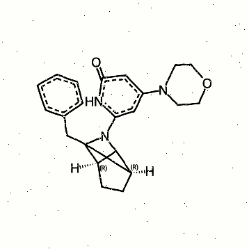 O=c1cc(N2CCOCC2)cc(N2C3[C@H]4CC[C@H]3C42Cc2ccccc2)[nH]1